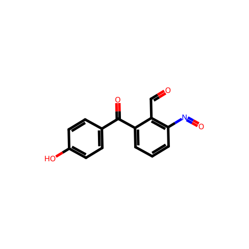 O=Cc1c(N=O)cccc1C(=O)c1ccc(O)cc1